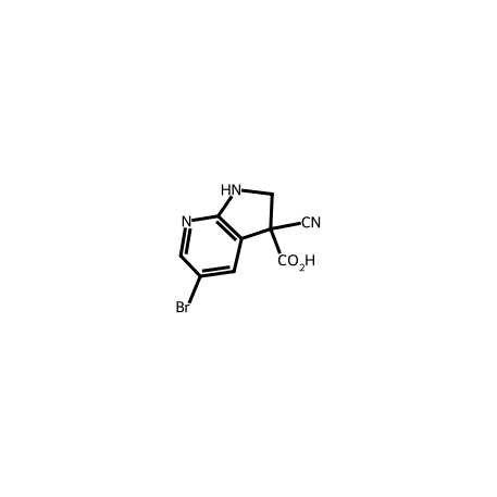 N#CC1(C(=O)O)CNc2ncc(Br)cc21